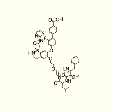 CC(C)CC(NC(=O)[C@H](O)[C@@H](N)Cc1ccccc1)C(=O)NCCOCCOc1cc2c(cc1Oc1ccc(-c3ccc(C(=O)O)cc3)c(F)c1)[C@@](C)(CC(=O)Nc1nccs1)NCC2